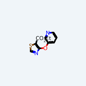 CCOC(=O)c1scnc1Oc1cccnc1